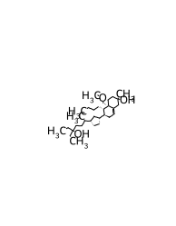 CCCC[C@H]1[C@H]([C@@H]2CC[C@H]([C@H](C)CCC(O)(CC)CC)C2)CC=C2C[C@@](C)(O)CC[C@@]21COC